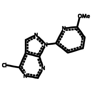 COc1cccc(-n2ncc3c(Cl)ncnc32)n1